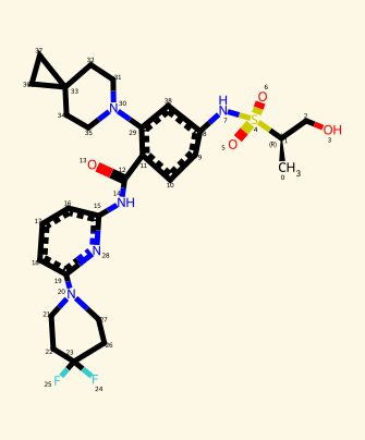 C[C@H](CO)S(=O)(=O)Nc1ccc(C(=O)Nc2cccc(N3CCC(F)(F)CC3)n2)c(N2CCC3(CC2)CC3)c1